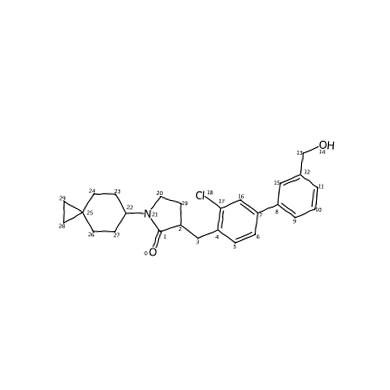 O=C1C(Cc2ccc(-c3cccc(CO)c3)cc2Cl)CCN1C1CCC2(CC1)CC2